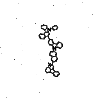 c1ccc(-n2c3ccccc3c3c4ccccc4c(-c4ccc5c(c4)c4ccccc4n5-c4ccc5cc(-c6cc7c8c(cccc8n6)-c6ccccc6-7)ccc5c4)cc32)cc1